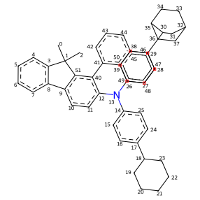 CC1(C)c2ccccc2-c2ccc(N(c3ccc(C4CCCCC4)cc3)c3ccc(C4CC5CCC4CC5)cc3)c(-c3cccc4ccccc34)c21